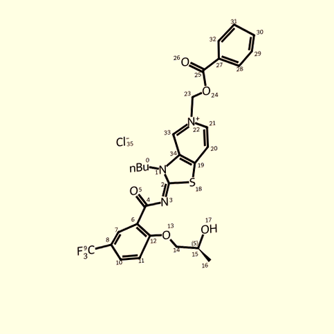 CCCCn1c(=NC(=O)c2cc(C(F)(F)F)ccc2OC[C@H](C)O)sc2cc[n+](COC(=O)c3ccccc3)cc21.[Cl-]